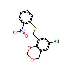 O=[N+]([O-])c1ccccc1SCc1cc(Cl)cc2c1OCOC2